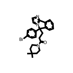 CC1(C)CCN(C(=O)CCC2(c3ccc(Br)cc3)c3ccccc3-c3nccn32)CC1